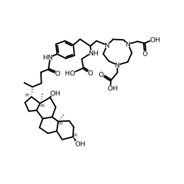 CC(CCC(=O)Nc1ccc(CC(CN2CCN(CC(=O)O)CCN(CC(=O)O)CC2)NCC(=O)O)cc1)[C@H]1CCC2C3CCC4C[C@H](O)CC[C@]4(C)C3CC(O)[C@@]21C